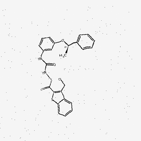 C[C@@H](Oc1cccc(NC(=O)NSC(=O)c2sc3ccccc3c2CCl)c1)c1ccccc1